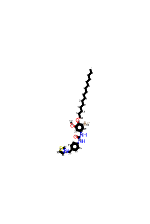 CCCCCCCCCCCCCCCCOc1ccc(NC(=O)Nc2ccc(C[n+]3ccsc3)cc2)cc1OC.[Br-]